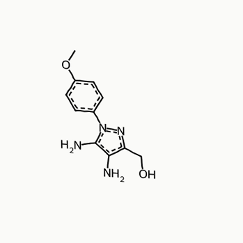 COc1ccc(-n2nc(CO)c(N)c2N)cc1